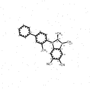 Cc1cc(-c2ccccc2)ccc1N1c2cc(C#N)c(C#N)cc2N(C)[C@@H]1C